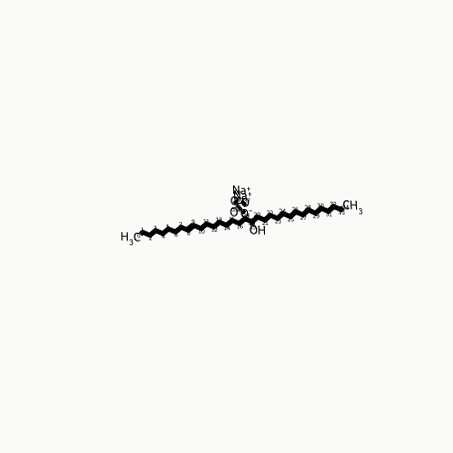 CCCCCCCCC=CCCCCCCCCC(O)CCCCCCCCCCCCCCC.O=S(=O)([O-])[O-].[Na+].[Na+]